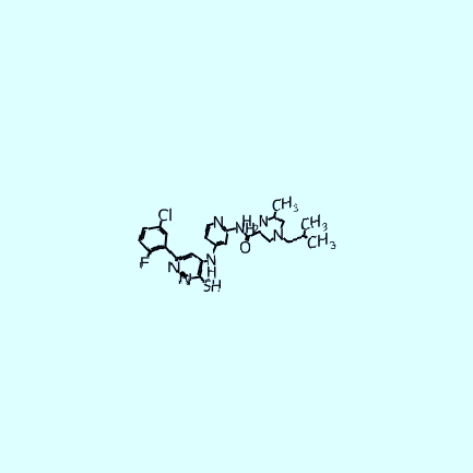 CC(C)CN(CCC(=O)Nc1cc(Nc2cc(-c3cc(Cl)ccc3F)nnc2S)ccn1)CC(C)N